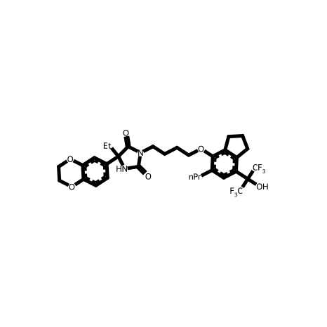 CCCc1cc(C(O)(C(F)(F)F)C(F)(F)F)c2c(c1OCCCCN1C(=O)NC(CC)(c3ccc4c(c3)OCCO4)C1=O)CCC2